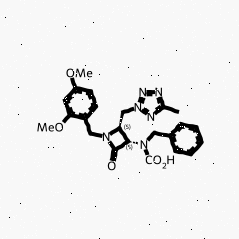 COc1ccc(CN2C(=O)[C@@H](N(Cc3ccccc3)C(=O)O)[C@@H]2Cn2nnc(C)n2)c(OC)c1